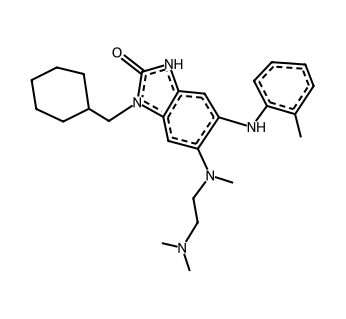 Cc1ccccc1Nc1cc2[nH]c(=O)n(CC3CCCCC3)c2cc1N(C)CCN(C)C